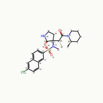 C[C@@H]1CCCCN1C(=O)[C@H](C)[C@@]1(N(C)S(=O)(=O)c2ccc3cc(Cl)ccc3c2)CCNC1=O